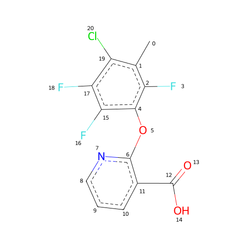 Cc1c(F)c(Oc2ncccc2C(=O)O)c(F)c(F)c1Cl